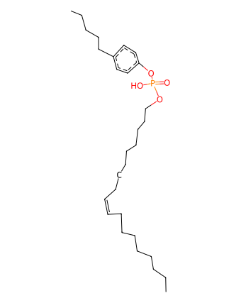 CCCCCCCC/C=C\CCCCCCCCOP(=O)(O)Oc1ccc(CCCCC)cc1